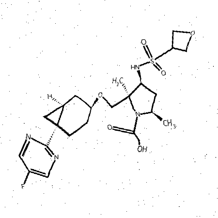 C[C@@H]1C[C@H](NS(=O)(=O)C2COC2)[C@](C)(CO[C@H]2CC[C@@]3(c4ncc(F)cn4)C[C@H]3C2)N1C(=O)O